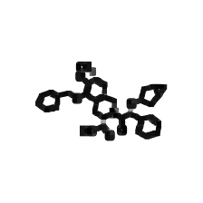 COc1ccc2c(c1OCc1ccccc1)C[C@@H](C(=O)O)N(C(=O)[C@H](OC1CC3CC3C1)c1ccccc1)C2